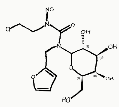 O=NN(CCCl)C(=O)N(Cc1ccco1)C1O[C@H](CO)[C@H](O)[C@H](O)[C@H]1O